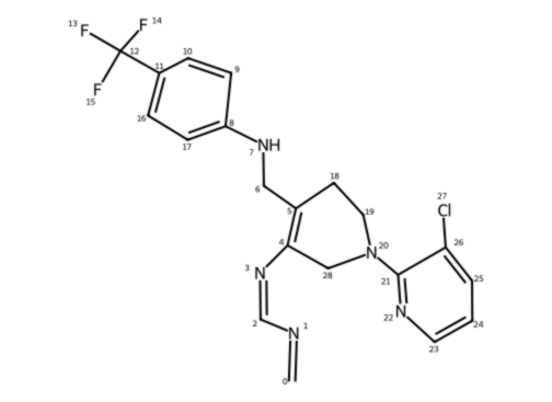 C=N/C=N\C1=C(CNc2ccc(C(F)(F)F)cc2)CCN(c2ncccc2Cl)C1